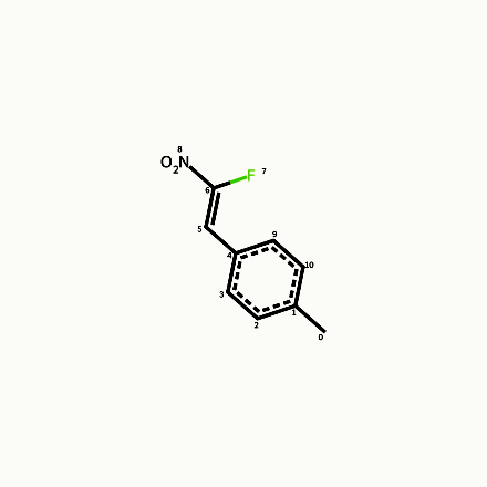 Cc1ccc(C=C(F)[N+](=O)[O-])cc1